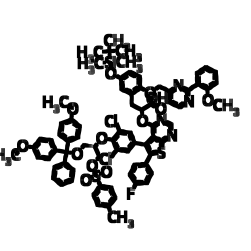 COc1ccc(C(OC[C@H](COS(=O)(=O)c2ccc(C)cc2)Oc2c(Cl)cc(-c3c(-c4ccc(F)cc4)sc4ncnc(OC(Cc5cc(O[Si](C)(C)C(C)(C)C)ccc5OCc5ccnc(-c6ccccc6OC)n5)C(=O)O)c34)cc2Cl)(c2ccccc2)c2ccc(OC)cc2)cc1